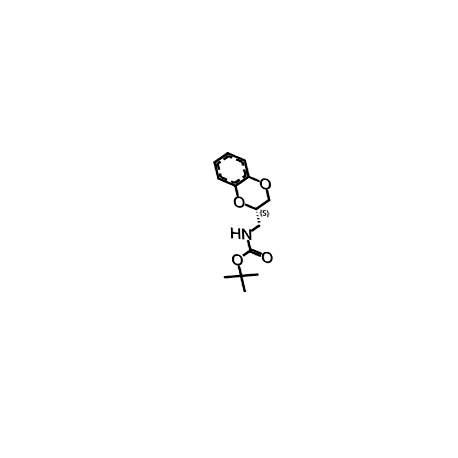 CC(C)(C)OC(=O)NC[C@H]1COc2ccccc2O1